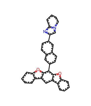 c1ccc2c(c1)oc1c(-c3ccc4cc(-c5cn6ccccc6n5)ccc4c3)c3oc4ccccc4c3cc12